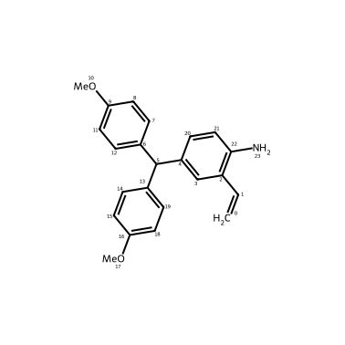 C=Cc1cc(C(c2ccc(OC)cc2)c2ccc(OC)cc2)ccc1N